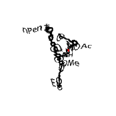 C=CC(=O)OCCCCCc1cccc(OC(C)=O)c1/C=N/N=C/c1ccc(N/N=C/c2cc(CCOC(=O)c3ccc(-c4ccc(C5CCC(CCCCC)CC5)cc4)cc3)ccc2OC(=O)c2ccc(OCCCCCCOCC3(CC)COC3)c(OC)c2)cc1